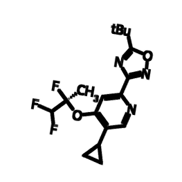 CC(C)(C)c1nc(-c2cc(O[C@](C)(F)C(F)F)c(C3CC3)cn2)no1